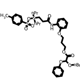 CCCCOC(Oc1ccccc1)C(=O)OCCCOc1ccccc1NC(=O)CCS(CCC)(CCC)OS(=O)(=O)c1ccc(C)cc1